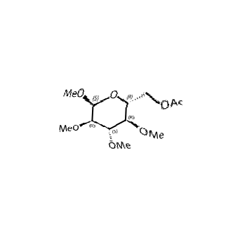 CO[C@H]1O[C@H](COC(C)=O)[C@@H](OC)[C@H](OC)[C@H]1OC